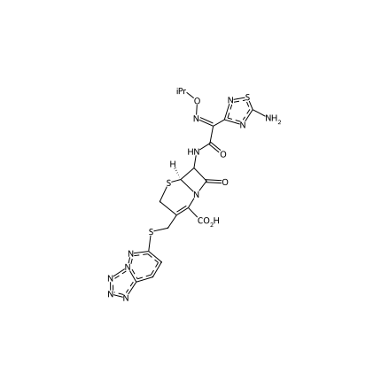 CC(C)ON=C(C(=O)NC1C(=O)N2C(C(=O)O)=C(CSc3ccc4nnnn4n3)CS[C@@H]12)c1nsc(N)n1